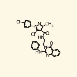 Cc1nn(-c2ccc(Cl)cc2)c(Cl)c1C(=O)NCCn1c(Nc2ccccc2)nc2ccccc2c1=O